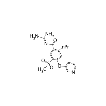 CCCc1cc(Oc2cccnc2)c(S(C)(=O)=O)cc1C(=O)N=C(N)N